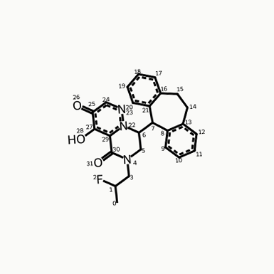 CC(F)CN1CC(C2c3ccccc3CCc3ccccc32)n2ncc(=O)c(O)c2C1=O